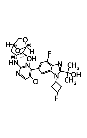 CC(C)(O)c1nc2c(F)cc(-c3nc(N[C@@H]4C[C@H]5CO[C@H](O5)[C@H]4O)ncc3Cl)cc2n1C1CC(F)C1